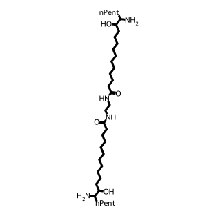 CCCCCC(N)C(O)CCCCCCCCCCC(=O)NCCNC(=O)CCCCCCCCCCC(O)C(N)CCCCC